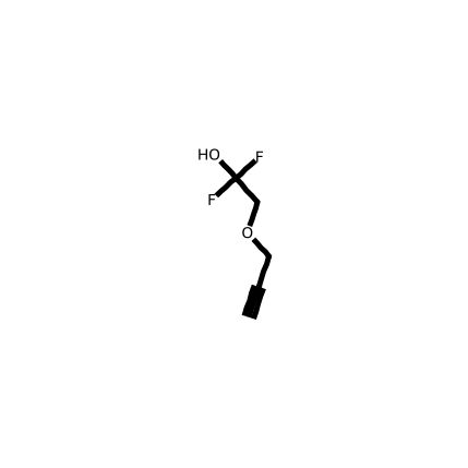 C#CCOCC(O)(F)F